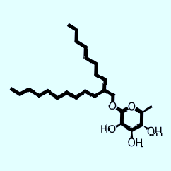 CCCCCCCCCCC(CCCCCCCC)COC1O[C@@H](C)[C@H](O)[C@@H](O)[C@H]1O